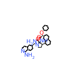 NC(=O)[C@]1(NC(=O)COc2ccccc2)C(c2cccc3ccccc23)CCN1Cc1ccc2c(N)nccc2c1